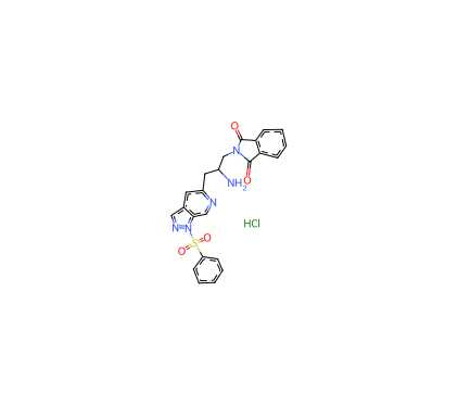 Cl.NC(Cc1cc2cnn(S(=O)(=O)c3ccccc3)c2cn1)CN1C(=O)c2ccccc2C1=O